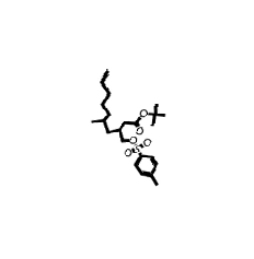 CCCCCC(C)CC(COS(=O)(=O)c1ccc(C)cc1)CC(=O)OC(C)(C)C